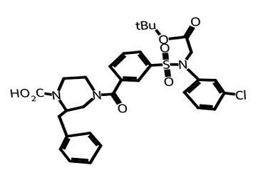 CC(C)(C)OC(=O)CN(c1cccc(Cl)c1)S(=O)(=O)c1cccc(C(=O)N2CCN(C(=O)O)C(Cc3ccccc3)C2)c1